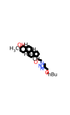 CCCCOCc1cn(CC(=O)[C@H]2CC[C@H]3[C@@H]4CC[C@@H]5C[C@](C)(O)CC[C@]5(C)[C@H]4CC[C@]23C)nn1